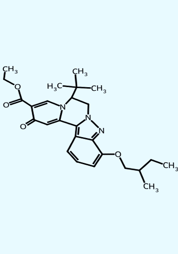 CCOC(=O)c1cn2c(cc1=O)-c1c3cccc(OCC(C)CC)c3nn1CC2C(C)(C)C